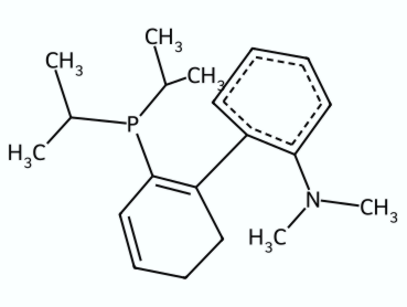 CC(C)P(C1=C(c2ccccc2N(C)C)CCC=C1)C(C)C